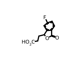 O=C(O)CCC1OC(=O)c2ccc(F)cc21